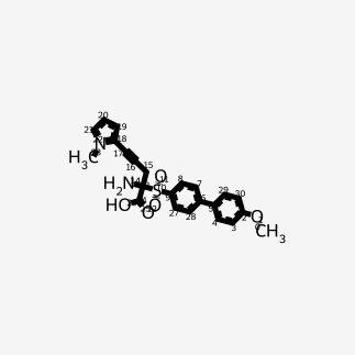 COc1ccc(-c2ccc(S(=O)(=O)C(N)(CC#Cc3cccn3C)C(=O)O)cc2)cc1